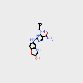 NC(=O)c1cnc(Nc2ccc3c(c2)NC[C@H](O)CO3)nc1NCC1CC1